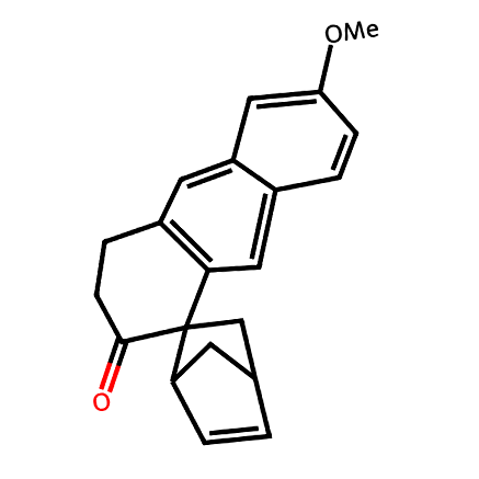 COc1ccc2cc3c(cc2c1)CCC(=O)C31CC2C=CC1C2